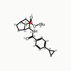 CC(C)(C)OC(=O)N1C2CCC(NC(=O)c3ccc(C4CC4)cc3)C1CC2